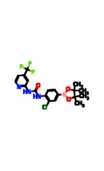 CC1(C)OB(c2ccc(NC(=O)Nc3cc(C(F)(F)F)ccn3)c(Cl)c2)OC1(C)C